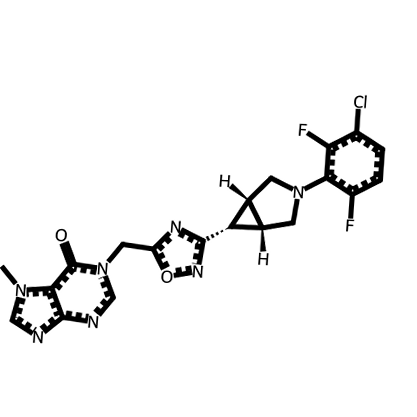 Cn1cnc2ncn(Cc3nc([C@@H]4[C@@H]5CN(c6c(F)ccc(Cl)c6F)C[C@@H]54)no3)c(=O)c21